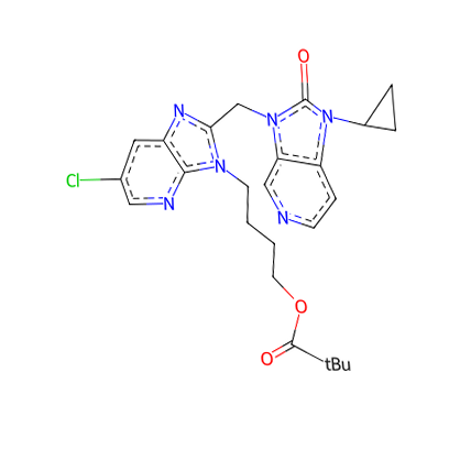 CC(C)(C)C(=O)OCCCCn1c(Cn2c(=O)n(C3CC3)c3ccncc32)nc2cc(Cl)cnc21